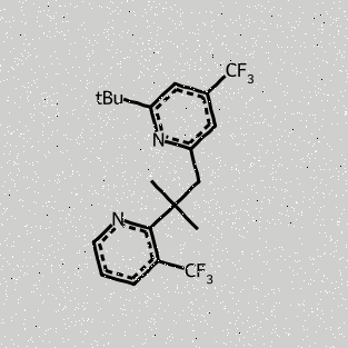 CC(C)(C)c1cc(C(F)(F)F)cc(CC(C)(C)c2ncccc2C(F)(F)F)n1